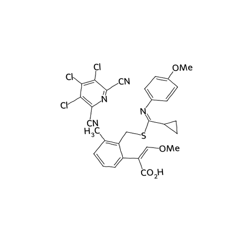 COC=C(C(=O)O)c1cccc(C)c1CSC(=Nc1ccc(OC)cc1)C1CC1.N#Cc1nc(C#N)c(Cl)c(Cl)c1Cl